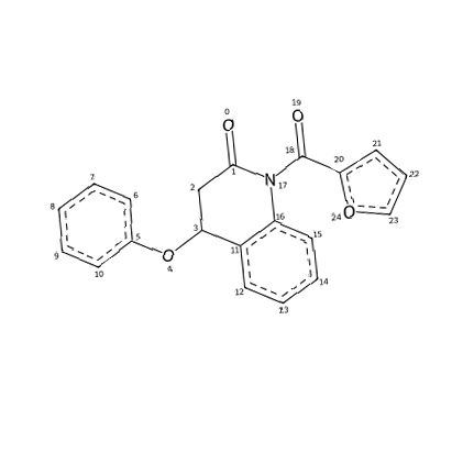 O=C1CC(Oc2ccccc2)c2ccccc2N1C(=O)c1ccco1